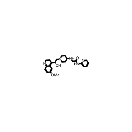 COc1ccc2nccc([C@@H](O)CN3CCC(NCC(=O)Nc4ccccn4)CC3)c2c1